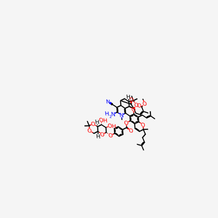 COC(=O)/C(C)=C\CC12OC(C)(C)[C@H]3CC(C1=O)C1C(C#N)=C(N)N(C)C4=C1C32Oc1c(CC=C(C)C)c2c(c(OC(=O)c3ccc(O[C@@H]5O[C@@H]6COC(C)(C)O[C@H]6[C@H](O)[C@H]5O)cc3)c14)C=CC(C)(CCC=C(C)C)O2